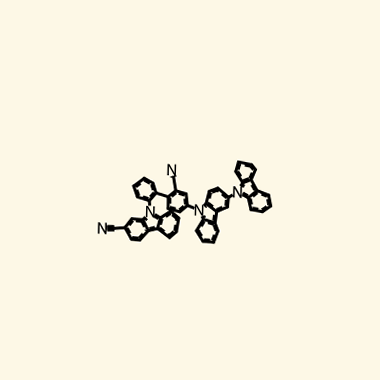 N#Cc1ccc2c3ccccc3n(-c3ccccc3-c3ccc(-n4c5ccccc5c5cc(-n6c7ccccc7c7ccccc76)ccc54)cc3C#N)c2c1